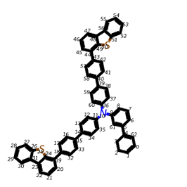 C1=CCCC(c2cccc(N(c3ccc(-c4ccc(-c5cccc6c5sc5ccccc56)cc4)cc3)c3ccc(-c4ccc(-c5cccc6c5sc5ccccc56)cc4)cc3)c2)=C1